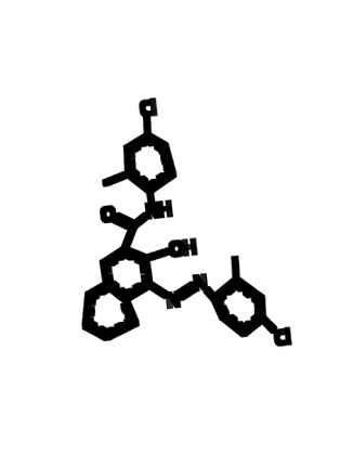 Cc1cc(Cl)ccc1N=Nc1c(O)c(C(=O)Nc2ccc(Cl)cc2C)cc2ccccc12